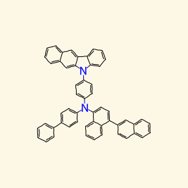 c1ccc(-c2ccc(N(c3ccc(-n4c5ccccc5c5cc6ccccc6cc54)cc3)c3ccc(-c4ccc5ccccc5c4)c4ccccc34)cc2)cc1